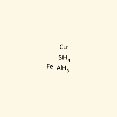 [AlH3].[Cu].[Fe].[SiH4]